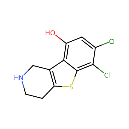 Oc1cc(Cl)c(Cl)c2sc3c(c12)CNCC3